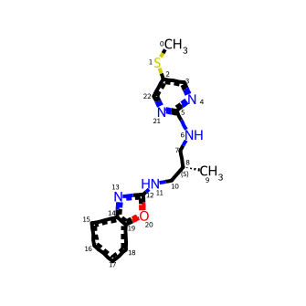 CSc1cnc(NC[C@H](C)CNc2nc3ccccc3o2)nc1